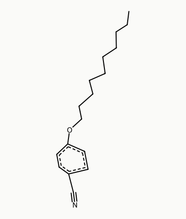 CCCCCCCCCCOc1ccc(C#N)cc1